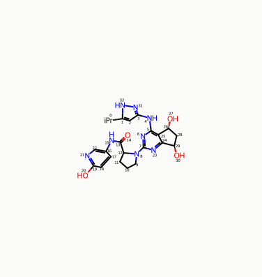 CC(C)c1cc(Nc2nc(N3CCCC3C(=O)Nc3ccc(O)nc3)nc3c2[C@@H](O)C[C@H]3O)n[nH]1